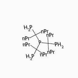 CCCC(P)(CCC)P(C(P)(CCC)CCC)C(P)(CCC)CCC